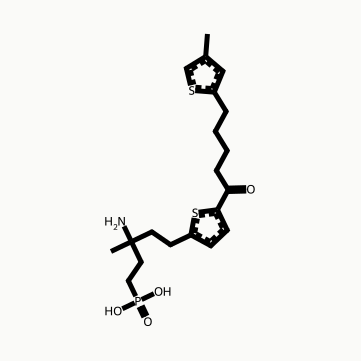 Cc1csc(CCCCC(=O)c2ccc(CCC(C)(N)CCP(=O)(O)O)s2)c1